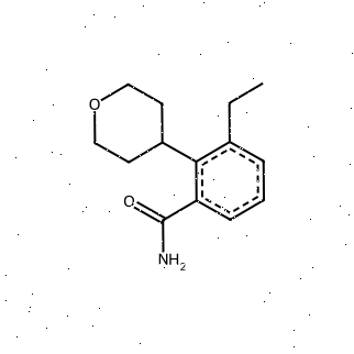 CCc1cccc(C(N)=O)c1C1CCOCC1